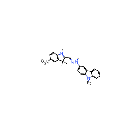 CCn1c2ccccc2c2cc(N(C)N=CC3=[N+](C)c4ccc([N+](=O)[O-])cc4C3(C)C)ccc21